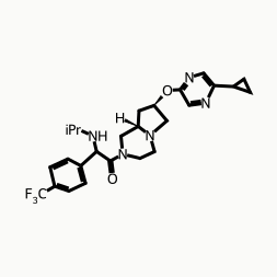 CC(C)NC(C(=O)N1CCN2C[C@H](Oc3cnc(C4CC4)cn3)C[C@H]2C1)c1ccc(C(F)(F)F)cc1